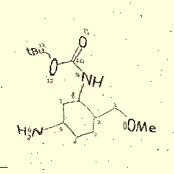 COCC1CCC(N)CC1NC(=O)OC(C)(C)C